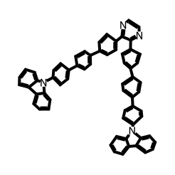 c1ccc2c(c1)c1ccccc1n2-c1ccc(-c2ccc(-c3ccc(-c4nccnc4-c4ccc(-c5ccc(-c6ccc(-n7c8ccccc8c8ccccc87)cc6)cc5)cc4)cc3)cc2)cc1